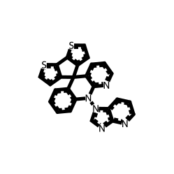 c1ccc2c(c1)N(n1cnc3ncccc31)c1ncccc1C21c2ccsc2-c2sccc21